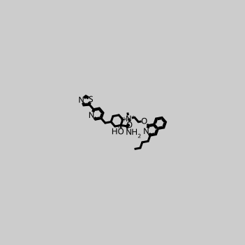 CCCCc1cc2ccccc2c(OCC[N+](C)(C)[C@H]2CCC(Cc3ccc(-c4cncs4)nc3)C[C@@]2(O)C(N)=O)n1